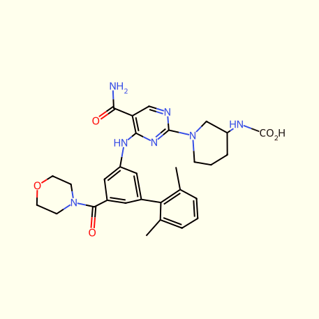 Cc1cccc(C)c1-c1cc(Nc2nc(N3CCCC(NC(=O)O)C3)ncc2C(N)=O)cc(C(=O)N2CCOCC2)c1